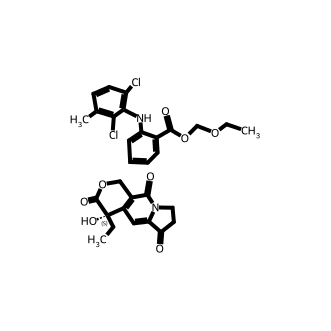 CCOCOC(=O)c1ccccc1Nc1c(Cl)ccc(C)c1Cl.CC[C@@]1(O)C(=O)OCc2c1cc1n(c2=O)CCC1=O